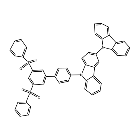 O=S(=O)(c1ccccc1)c1cc(-c2ccc(-n3c4ccccc4c4cc(-n5c6ccccc6c6ccccc65)ccc43)cc2)cc(S(=O)(=O)c2ccccc2)c1